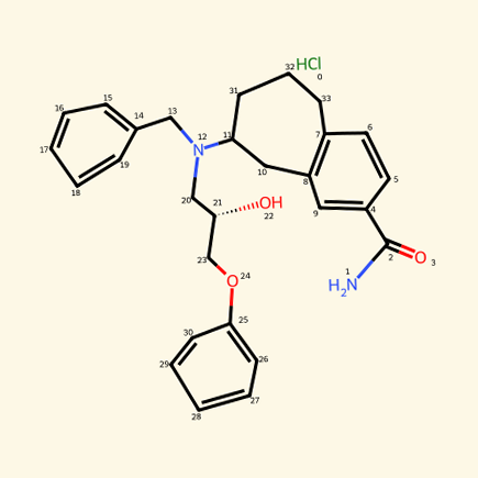 Cl.NC(=O)c1ccc2c(c1)CC(N(Cc1ccccc1)C[C@H](O)COc1ccccc1)CCC2